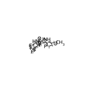 COCc1ccc(F)c(-c2cc(S(=O)(=O)Nc3cc(F)c(C(F)(F)F)cc3F)c[nH]2)c1